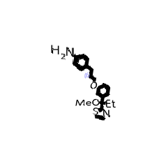 CCC(OC)(c1cccc(OC/C=C/c2ccc(N)cc2)c1)c1nccs1